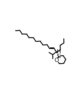 CCCCCCCCCCC=CC(CCCC)(C(C)C)[SiH]1CCCCO1